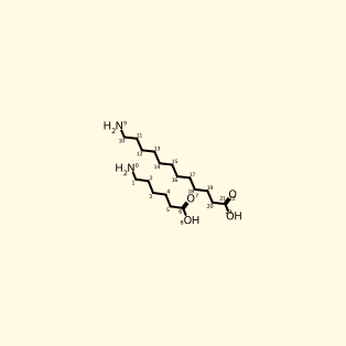 NCCCCCC(=O)O.NCCCCCCCCCCCC(=O)O